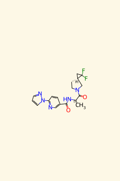 C[C@H](NC(=O)c1ccc(-n2cccn2)nc1)C(=O)N1CC[C@]2(C1)CC2(F)F